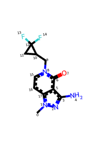 Cn1nc(N)c2c(=O)n(CC3CC3(F)F)ccc21